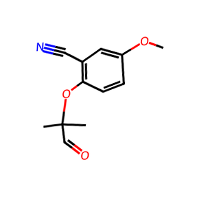 COc1ccc(OC(C)(C)C=O)c(C#N)c1